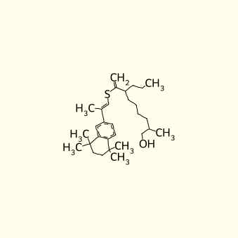 C=C(S/C=C(\C)c1ccc2c(c1)C(C)(C)CCC2(C)C)C(CCC)CCCCC(C)CO